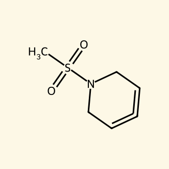 CS(=O)(=O)N1CC=C=CC1